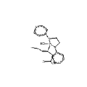 CC/C=C(/CC(=O)O)[P]1(O)N(c2ccccc2)CCN1c1ccccc1